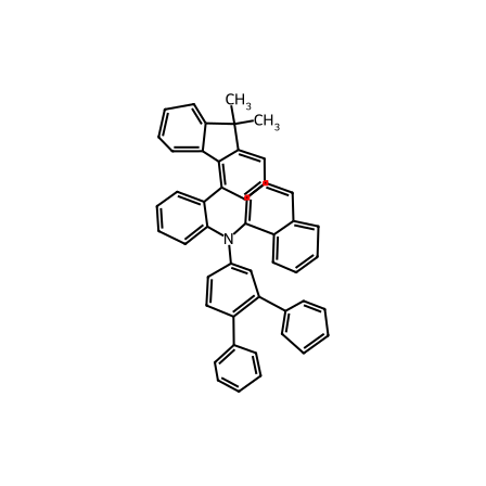 CC1(C)c2ccccc2-c2c(-c3ccccc3N(c3ccc(-c4ccccc4)c(-c4ccccc4)c3)c3cccc4ccccc34)cccc21